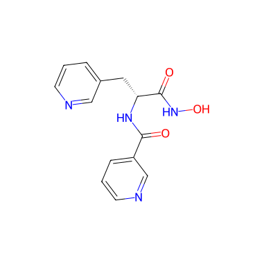 O=C(N[C@H](Cc1cccnc1)C(=O)NO)c1cccnc1